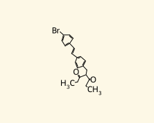 CCC(=O)C(Cc1ccc(C=Cc2ccc(Br)cc2)cc1)C(=O)CC